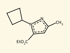 CCOC(=O)c1cc(C)nn1C1CCC1